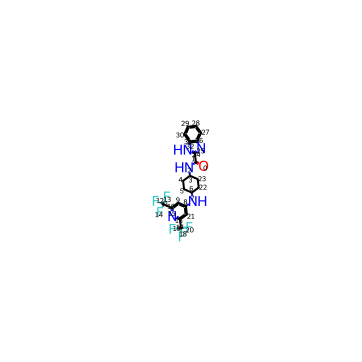 O=C(NC1CCC(Nc2cc(C(F)(F)F)nc(C(F)(F)F)c2)CC1)c1nc2ccccc2[nH]1